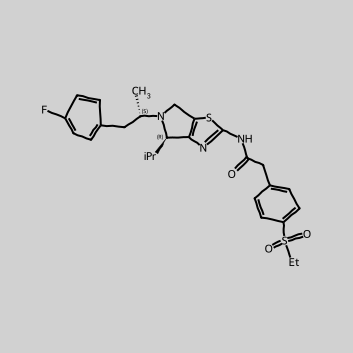 CCS(=O)(=O)c1ccc(CC(=O)Nc2nc3c(s2)CN([C@@H](C)Cc2ccc(F)cc2)[C@@H]3C(C)C)cc1